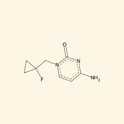 Nc1ccn(CC2(F)CC2)c(=O)n1